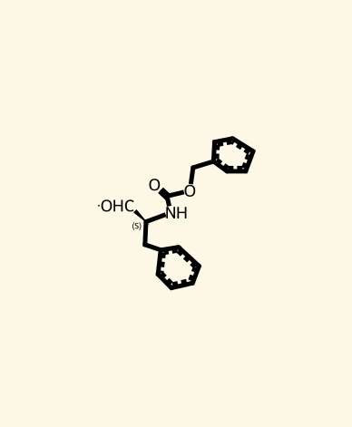 O=[C][C@H](Cc1ccccc1)NC(=O)OCc1ccccc1